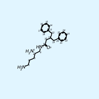 NCCC[C@H](N)CNC(=O)CC(Cc1ccccc1)Cc1ccccc1